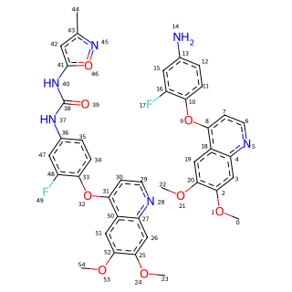 COc1cc2nccc(Oc3ccc(N)cc3F)c2cc1OC.COc1cc2nccc(Oc3ccc(NC(=O)Nc4cc(C)no4)cc3F)c2cc1OC